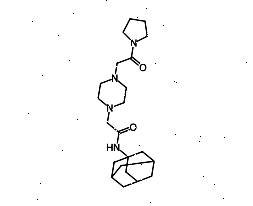 O=C(CN1CCN(CC(=O)N2CCCC2)CC1)NC12CC3CC(CC(C3)C1)C2